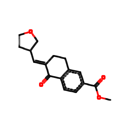 COC(=O)c1ccc2c(c1)CCC(=CC1CCOC1)C2=O